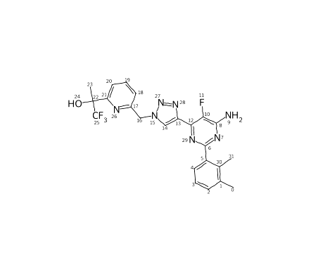 Cc1cccc(-c2nc(N)c(F)c(-c3cn(Cc4cccc(C(C)(O)C(F)(F)F)n4)nn3)n2)c1C